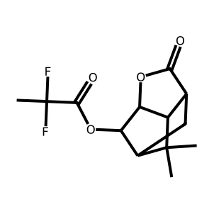 CC(F)(F)C(=O)OC1C2OC(=O)C3CC1C(C)(C)C32